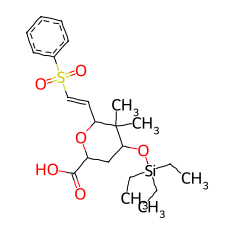 CC[Si](CC)(CC)OC1CC(C(=O)O)OC(C=CS(=O)(=O)c2ccccc2)C1(C)C